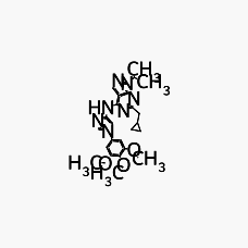 COc1cc(-n2cnc(Nc3nc(CC4CC4)nc4c3cnn4C(C)C)c2)cc(OC)c1OC